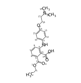 CCOC(=O)c1cccc(Nc2ccc(OCCN(C)C)cc2)c1C(=O)O